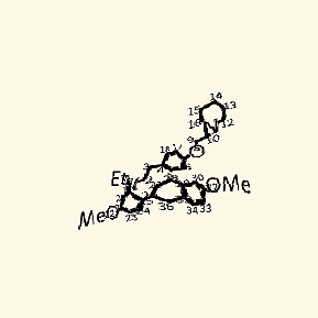 CCN(CCc1ccc(OCCN2CCCCC2)cc1)c1cc(OC)ccc1C1CCc2cc(OC)ccc2C1